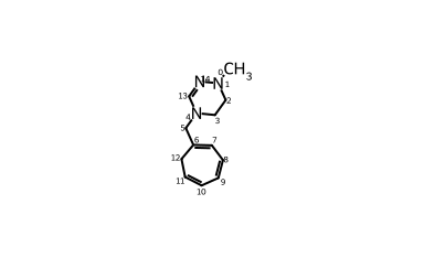 CN1CCN(CC2=CC=CC=CC2)C=N1